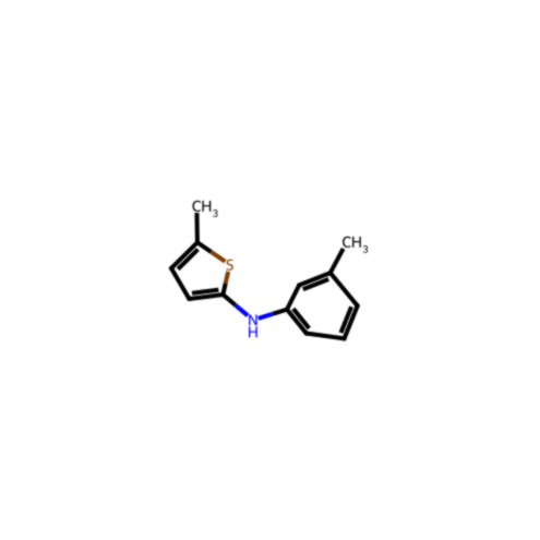 Cc1cccc(Nc2ccc(C)s2)c1